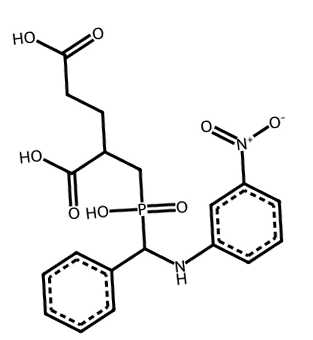 O=C(O)CCC(CP(=O)(O)C(Nc1cccc([N+](=O)[O-])c1)c1ccccc1)C(=O)O